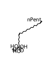 CCCCC/C=C\CCCCCCCCCC/C=C\CCCCCC(O)(C[N+](C)(C)C)P(=O)(O)O